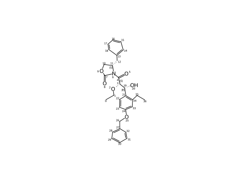 CCO[C@H](C(=O)N1C(=O)OC[C@@H]1Cc1ccccc1)[C@H](O)c1ccc(OCc2ccccc2)cc1CC